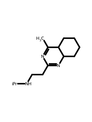 CC1=NC(CCNC(C)C)=NC2CCCCC12